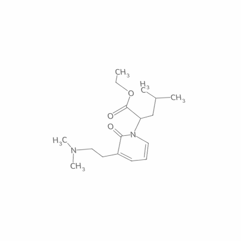 CCOC(=O)C(CC(C)C)n1cccc(CCN(C)C)c1=O